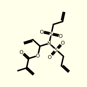 C=CCS(=O)(=O)N(C(C=C)OC(=O)C(=C)C)S(=O)(=O)CC=C